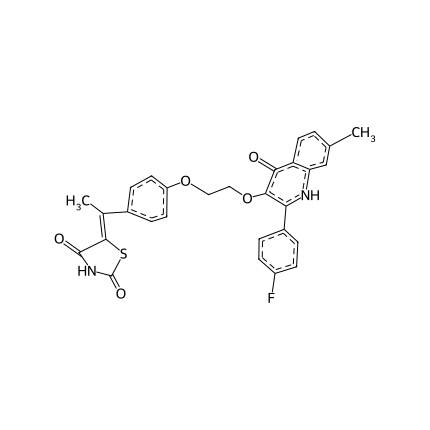 CC(=C1SC(=O)NC1=O)c1ccc(OCCOc2c(-c3ccc(F)cc3)[nH]c3cc(C)ccc3c2=O)cc1